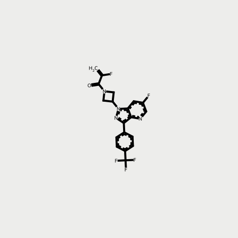 C=C(F)C(=O)N1CC(n2nc(-c3ccc(C(F)(F)F)cc3)c3ncc(F)cc32)C1